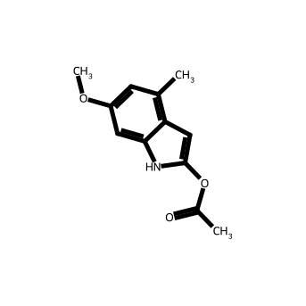 COc1cc(C)c2cc(OC(C)=O)[nH]c2c1